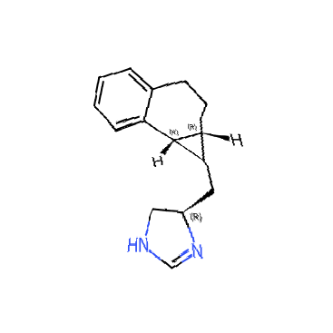 C1=N[C@H](CC2[C@H]3CCc4ccccc4[C@@H]23)CN1